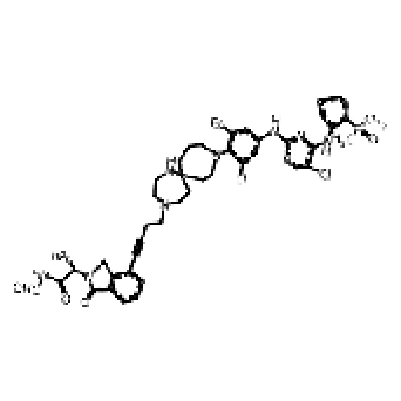 CCCC(C(=O)NC=O)N1Cc2c(C#CCCN3CCNC4(CCCN(c5c(Cl)cc(Nc6ncc(Cl)c(Nc7ccccc7P(C)(C)=O)n6)cc5CC)CC4)CC3)cccc2C1=O